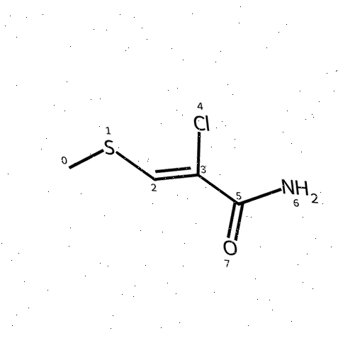 CSC=C(Cl)C(N)=O